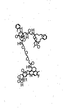 CC[C@@]1(O)C(=O)OCc2c1cc1n(c2=O)Cc2c-1nc1cc(F)c(C)c3c1c2[C@@H](NC(=O)CCOCCOCCOCNC(=O)CNC(=O)[C@H](Cc1ccccc1)NC(=O)CNC(=O)CNC(=O)CCC[n+]1ccccc1CCN1C(=O)CC(C)C1=O)CC3